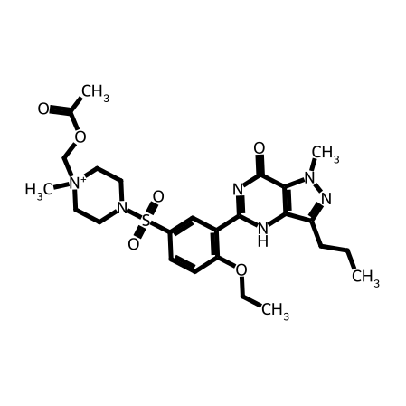 CCCc1nn(C)c2c(=O)nc(-c3cc(S(=O)(=O)N4CC[N+](C)(COC(C)=O)CC4)ccc3OCC)[nH]c12